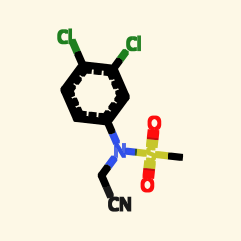 CS(=O)(=O)N(CC#N)c1ccc(Cl)c(Cl)c1